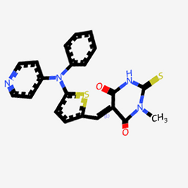 CN1C(=O)/C(=C/c2ccc(N(c3ccccc3)c3ccncc3)s2)C(=O)NC1=S